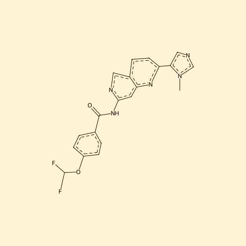 Cn1cncc1-c1ccc2cnc(NC(=O)c3ccc(OC(F)F)cc3)cc2n1